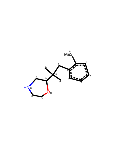 CSc1ccccc1CC(C)(C)C1CNCCO1